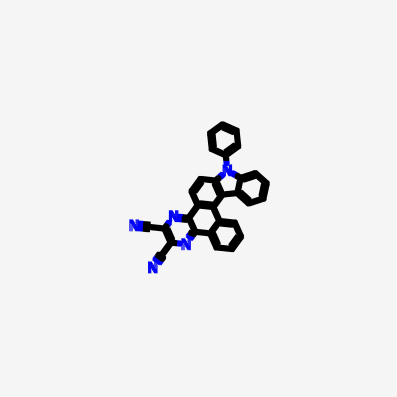 N#Cc1nc2c3ccccc3c3c(ccc4c3c3ccccc3n4-c3ccccc3)c2nc1C#N